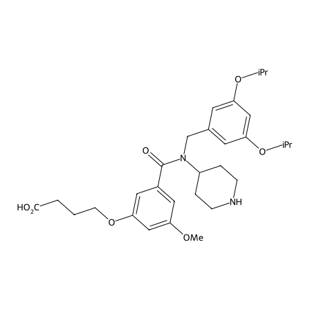 COc1cc(OCCCC(=O)O)cc(C(=O)N(Cc2cc(OC(C)C)cc(OC(C)C)c2)C2CCNCC2)c1